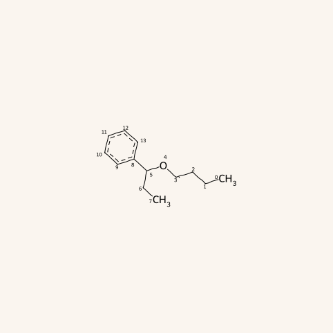 CCC[CH]OC(CC)c1ccccc1